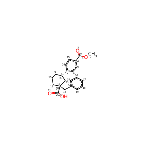 COC(=O)c1ccc([C@H]2CCC[C@@](Cc3ccccc3)(C(=O)O)C2)cc1